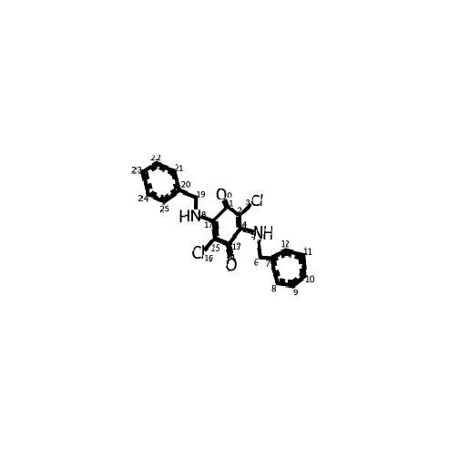 O=C1C(Cl)=C(NCc2ccccc2)C(=O)C(Cl)=C1NCc1ccccc1